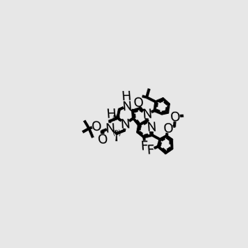 COCOc1cccc(F)c1-c1nc2c(cc1F)c1c(c(=O)n2-c2ccccc2C(C)C)NC[C@H]2CN(C(=O)OC(C)(C)C)[C@H](C)CN12